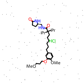 COCCCOc1cc(CCCCCCC(C(=O)NC[C@H]2CCC(=O)N2)(C(C)C)C(C)C)ccc1OC.Cl